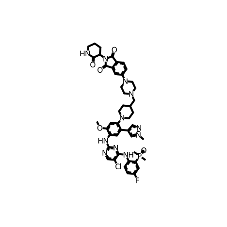 COc1cc(N2CCC(CN3CCN(c4ccc5c(c4)C(=O)N(C4CCCNC4=O)C5=O)CC3)CC2)c(-c2cnn(C)c2)cc1Nc1ncc(Cl)c(Nc2ccc(F)cc2P(C)(C)=O)n1